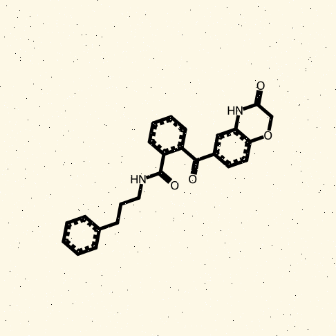 O=C1COc2ccc(C(=O)c3ccccc3C(=O)NCCCc3ccccc3)cc2N1